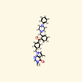 CCn1cnc2c(c(C)cn2Cc2ccc(C(=O)c3ccccc3CN3CCN(c4ccccc4)CC3)cc2)c1=O